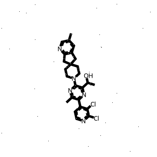 Cc1cnc2c(c1)CC1(CCN(c3nc(C)c(-c4ccnc(Cl)c4Cl)nc3C(C)O)CC1)C2